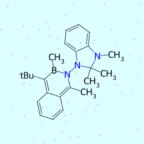 CB1C(C(C)(C)C)=c2ccccc2=C(C)N1N1c2ccccc2N(C)C1(C)C